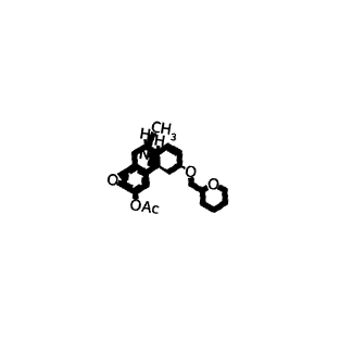 CC(=O)Oc1cc2c(c3c1O3)C[C@@H]1[C@@H]3C=C[C@H](OCC4CCCCO4)C[C@]23CCN1C